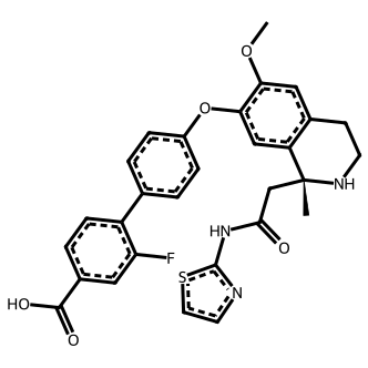 COc1cc2c(cc1Oc1ccc(-c3ccc(C(=O)O)cc3F)cc1)[C@@](C)(CC(=O)Nc1nccs1)NCC2